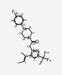 C/C=C(\C)c1cc(C(F)(F)F)nn1CC(=O)N1CCN(c2ccc(F)cc2)CC1